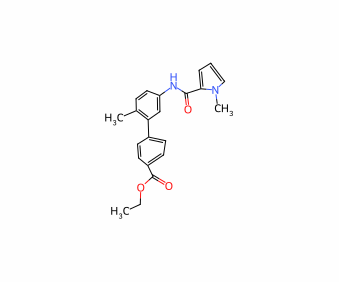 CCOC(=O)c1ccc(-c2cc(NC(=O)c3cccn3C)ccc2C)cc1